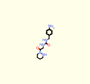 Nc1ccc(CNC(=O)NCC(=O)N2CCCCN2)cc1